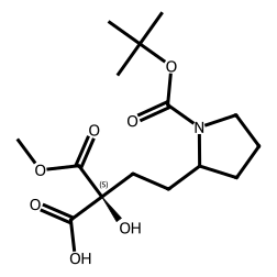 COC(=O)[C@](O)(CCC1CCCN1C(=O)OC(C)(C)C)C(=O)O